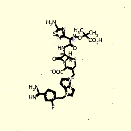 CC(C)(O/N=C(\C(=O)N[C@@H]1C(=O)N2C(C(=O)[O-])=C(C[n+]3ccc4n(Cc5ccc(C(=N)N)cc5F)ccn43)CS[C@H]12)c1nsc(N)n1)C(=O)O